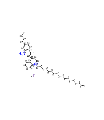 CCCCCCCCCCCCCCCCCC[n+]1ccc(C=Cc2ccc(CCCC)cc2N)c2ccccc21.[I-]